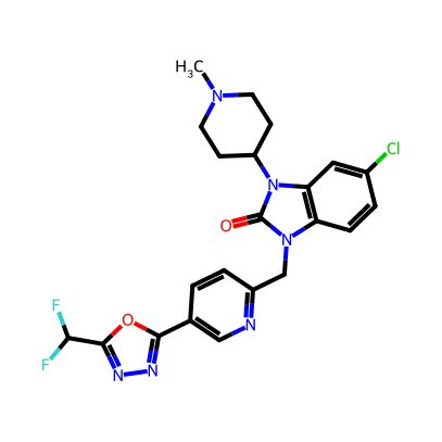 CN1CCC(n2c(=O)n(Cc3ccc(-c4nnc(C(F)F)o4)cn3)c3ccc(Cl)cc32)CC1